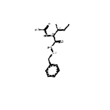 CC[C@H](C)[C@H](NC(=O)O)C(=O)NNCc1ccccc1